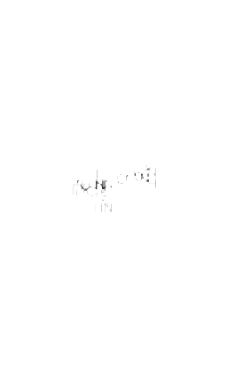 CNCCOc1ccc(S(=O)(=O)C(F)(F)F)cc1NC(=O)NCc1ccc(Oc2ccnc(C(=O)NC)c2)cc1